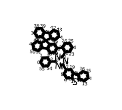 c1ccc(-c2nc(-c3ccc4sc5ccccc5c4c3)nc(-c3ccccc3-c3ccc4c(c3)C3(c5ccccc5-c5ccccc53)c3ccccc3-4)n2)cc1